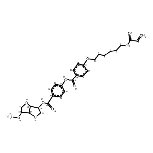 C=CC(=O)OCCCCCCOc1ccc(C(=O)Oc2ccc(C(=O)O[C@H]3COC4C3OC[C@@H]4OC)cc2)cc1